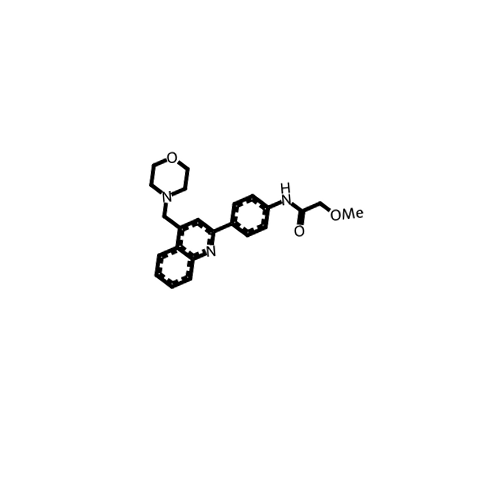 COCC(=O)Nc1ccc(-c2cc(CN3CCOCC3)c3ccccc3n2)cc1